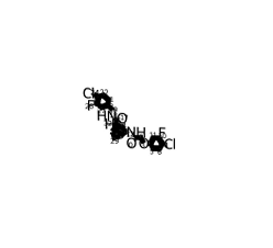 O=C(COc1ccc(Cl)c(F)c1)NC1C[C@@H](C(=O)NCc2ccc(Cl)c(F)c2)C2CC1C2